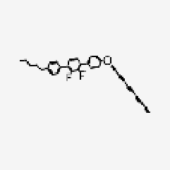 C#CC#CC#CC#CC#COc1ccc(-c2ccc(-c3ccc(CCCCC)cc3)c(F)c2F)cc1